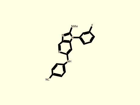 CNc1nc2cnc(Nc3ccc(C#N)cc3)cc2n1-c1cccc(F)c1